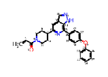 C=CC(=O)N1CCC(c2cc3cn[nH]c3c(-c3ccc(Oc4ccccc4)cc3)n2)CC1